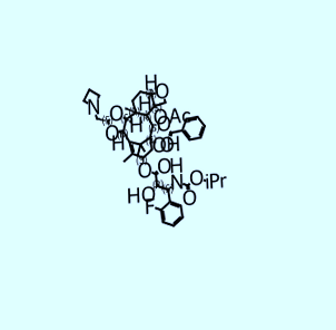 CC(=O)O[C@@]12CO[C@@H]1CC[C@@]1(C)[C@@H]3O[C@H](CN4CCC4)O[C@@H]3C3=C(C)[C@@H](OC(=O)[C@H](O)[C@@H](NC(=O)OC(C)C)c4ccccc4F)C[C@@](O)([C@@H](OC(=O)c4ccccc4)[C@@H]12)C3(C)C